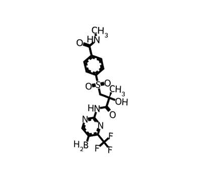 Bc1cnc(NC(=O)[C@@](C)(O)CS(=O)(=O)c2ccc(C(=O)NC)cc2)nc1C(F)(F)F